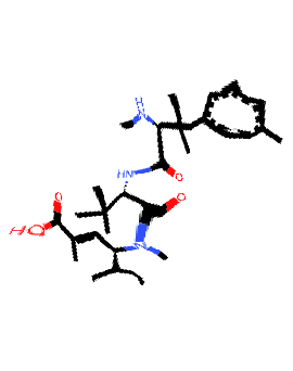 CN[C@H](C(=O)N[C@H](C(=O)N(C)[C@H](/C=C(\C)C(=O)O)C(C)C)C(C)(C)C)C(C)(C)c1cccc(C)c1